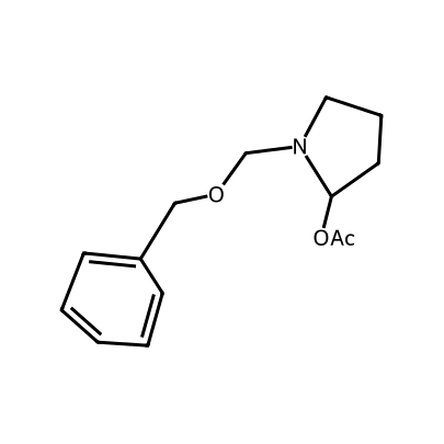 CC(=O)OC1CCCN1COCc1ccccc1